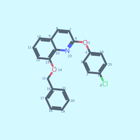 Clc1ccc(Oc2ccc3cccc(OCc4ccccc4)c3n2)cc1